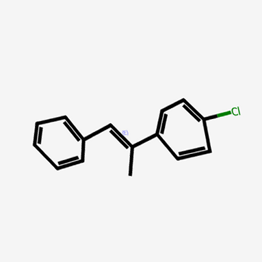 C/C(=C\c1ccccc1)c1ccc(Cl)cc1